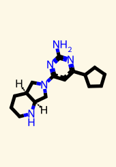 Nc1nc(C2CCCC2)cc(N2C[C@@H]3CCCN[C@@H]3C2)n1